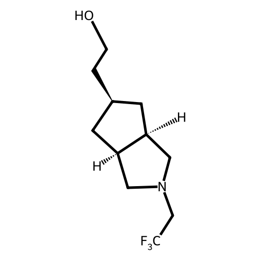 OCC[C@@H]1C[C@@H]2CN(CC(F)(F)F)C[C@@H]2C1